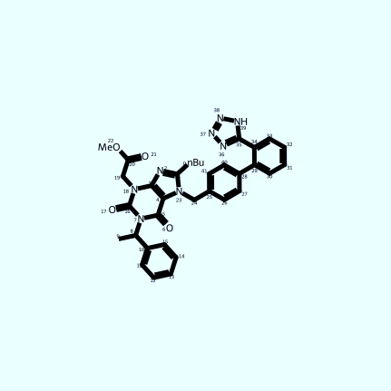 CCCCc1nc2c(c(=O)n(C(C)c3ccccc3)c(=O)n2CC(=O)OC)n1Cc1ccc(-c2ccccc2-c2nnn[nH]2)cc1